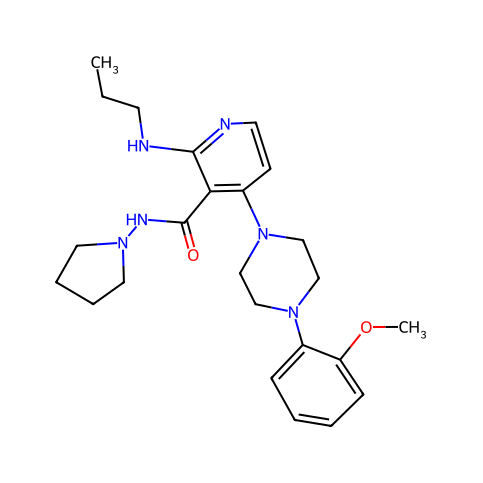 CCCNc1nccc(N2CCN(c3ccccc3OC)CC2)c1C(=O)NN1CCCC1